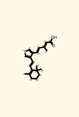 CC1=C(C=Cc2cscc2/C=C/C(C)=C/C(=O)O)C(C)(C)CCC1